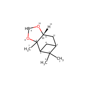 CC1(C)C2CC1C1(C)OBO[C@@H]1C2